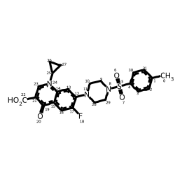 Cc1ccc(S(=O)(=O)N2CCN(c3cc4c(cc3F)c(=O)c(C(=O)O)cn4C3CC3)CC2)cc1